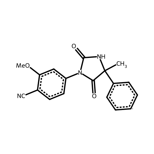 COc1cc(N2C(=O)NC(C)(c3cc[c]cc3)C2=O)ccc1C#N